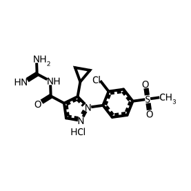 CS(=O)(=O)c1ccc(-n2ncc(C(=O)NC(=N)N)c2C2CC2)c(Cl)c1.Cl